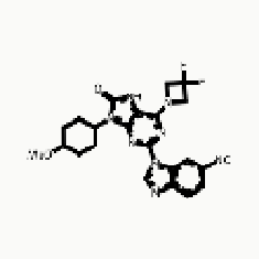 [C-]#[N+]c1ccc2ncn(-c3nc(N4CC(F)(F)C4)c4[nH]c(=O)n(C5CCC(OC)CC5)c4n3)c2c1